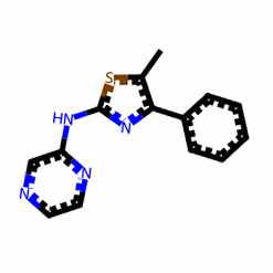 Cc1sc(Nc2cnccn2)nc1-c1ccccc1